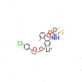 CSCC[C@H](NC(=O)c1ccc(COCC2CCC(c3ccc(Cl)cc3)O2)cc1-c1ccccc1C)C(=O)[O-].[Li+]